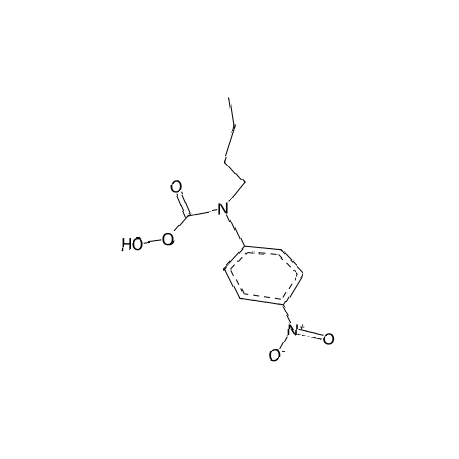 CCCCN(C(=O)OO)c1ccc([N+](=O)[O-])cc1